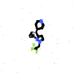 CC[C@H](c1ccncc1)c1ccn(CC(F)(F)F)n1